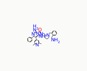 Cc1cc(-c2c(-c3ccccc3)nc(N)[n+]3c(=O)n(CC4CCCN4Cc4ccccc4CN)[nH]c23)cc(C)n1